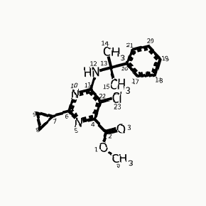 COC(=O)c1nc(C2CC2)nc(NC(C)(C)c2ccccc2)c1Cl